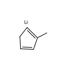 CC1=CCC=C1.[Li]